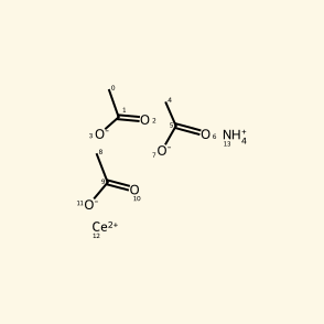 CC(=O)[O-].CC(=O)[O-].CC(=O)[O-].[Ce+2].[NH4+]